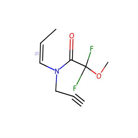 C#CCN(/C=C\C)C(=O)C(F)(F)OC